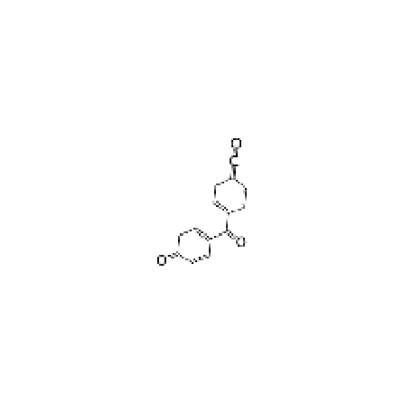 O=C=C1C=CC(C(=O)C2=CCC(=O)C=C2)=CC1